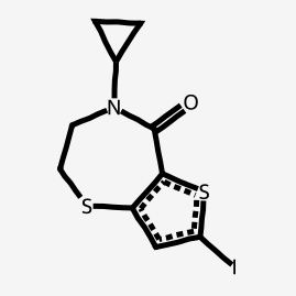 O=C1c2sc(I)cc2SCCN1C1CC1